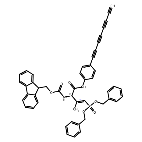 C#CC#CC#CC#Cc1ccc(NC(=O)[C@H](NC(=O)OCC2c3ccccc3-c3ccccc32)/C(C)=C/P(=O)(OCc2ccccc2)OCc2ccccc2)cc1